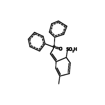 CC1=CC(=CP(=O)(c2ccccc2)c2ccccc2)C(S(=O)(=O)O)C=C1